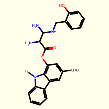 CCn1c2ccccc2c2cc(C=O)cc(OC(=O)C(N)C(N)NCc3ccccc3O)c21